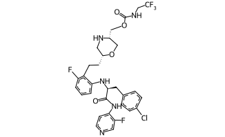 O=C(NCC(F)(F)F)OC[C@@H]1CO[C@H](CCc2c(F)cccc2N[C@@H](Cc2ccc(Cl)cc2)C(=O)Nc2ccncc2F)CN1